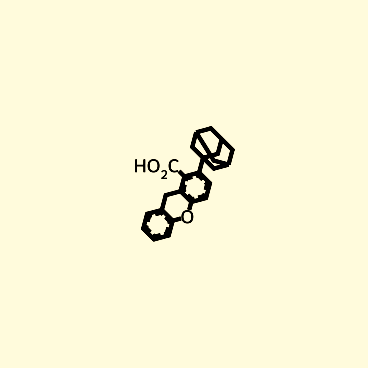 O=C(O)c1c(C23CC4CC(CC(C4)C2)C3)ccc2c1Cc1ccccc1O2